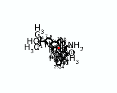 CCC(O)(CC)c1ccc(-c2cnn3c(N)c(C(C)=O)c([C@H]4C[C@H]5CC[C@@H](C4)N5C(=O)c4nnc[nH]4)nc23)cn1